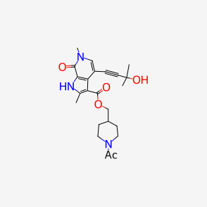 CC(=O)N1CCC(COC(=O)c2c(C)[nH]c3c(=O)n(C)cc(C#CC(C)(C)O)c23)CC1